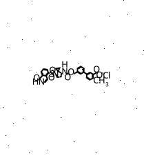 Cc1ccc(-c2cccc(COC(=O)NC3CCN(S(=O)(=O)c4cccc5c(=O)[nH]ccc45)C34CC4)c2)cc1C(=O)OCCl